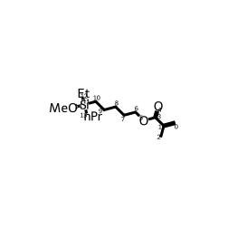 C=C(C)C(=O)OCCCCC[Si](CC)(CCC)OC